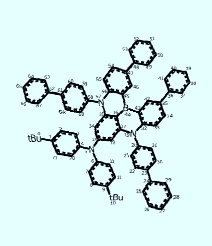 CC(C)(C)c1ccc(N(c2ccc(C(C)(C)C)cc2)c2cc3c4c(c2)N(c2ccc(-c5ccccc5)cc2)c2ccc(-c5ccccc5)cc2B4c2cc(-c4ccccc4)ccc2N3c2ccc(-c3ccccc3)cc2)cc1